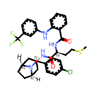 CSCC[C@H](NC(=O)c1ccccc1Nc1cccc(C(F)(F)F)c1)C(=O)N[C@@H]1C[C@H]2CC[C@@H](C1)N2Cc1ccc(Cl)cc1